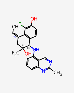 C/C=C1/C[C@](O)(C(F)(F)F)[C@H](Nc2cccc3nc(C)ncc23)c2ccc(O)c(F)c21